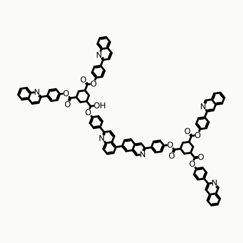 O=C(Oc1ccc(-c2cc3ccccc3cn2)cc1)C1CC(C(=O)Oc2ccc(-c3cc4ccccc4cn3)cc2)CC(C(=O)Oc2ccc(-c3cc4ccc(-c5cccc6nc(-c7ccc(OC(O)C8CC(C(=O)Oc9ccc(-c%10ccc%11ccccc%11n%10)cc9)CC(C(=O)Oc9ccc(-c%10ccc%11ccccc%11n%10)cc9)C8)cc7)ccc56)cc4cn3)cc2)C1